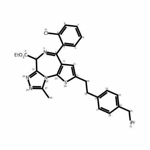 CCOC(=O)C1N=C(c2ccccc2Cl)c2cc(CCc3ccc(CC(C)C)cc3)sc2-n2c(C)nnc21